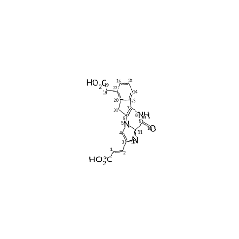 O=C(O)C=Cc1cn2c3c([nH]c(=O)c2n1)-c1cccc(CC(=O)O)c1C3